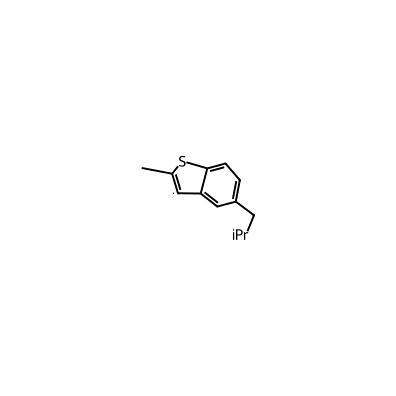 Cc1[c]c2cc(CC(C)C)ccc2s1